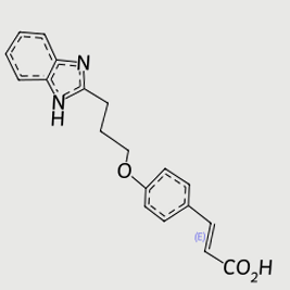 O=C(O)/C=C/c1ccc(OCCCc2nc3ccccc3[nH]2)cc1